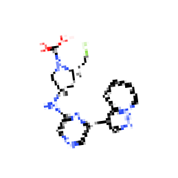 O=C(O)N1C[C@H](Nc2cncc(-c3cnn4ccccc34)n2)C[C@H]1CF